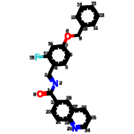 O=C(N=Cc1ccc(OCc2ccccc2)cc1F)c1ccc2ncccc2c1